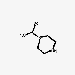 [CH2]C(C(C)=O)N1CCNCC1